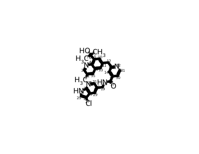 Cc1cnc2c(C(C)(C)O)cc(Cc3cc(C(=O)NCc4cnc5[nH]cc(Cl)c5c4)ccn3)cc2c1